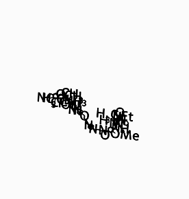 CC[C@@H]1C(=O)N(C)c2cnc(Nc3ccc(C(=O)NCCCN4CCN(CCCOC5CCN(c6ncc(C(=O)NC7C(C)(C)C(Oc8ccc(C#N)c(Cl)c8)C7(C)C)cn6)CC5)CC4)cc3OC)nc2N1C1CCCC1